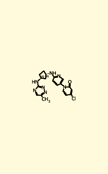 Cc1cnc(N[C@H]2CC[C@H](Nc3ccc(-n4ccc(Cl)cc4=O)cn3)C2)nn1